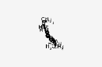 CCN(CC)CCNC(=S)Nc1ccc2nc(N3CCN(C(=O)NC(C)(C)C)CC3)ccc2c1